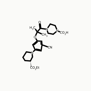 CCOC(=O)[C@@H]1CCCN(c2cc(C#N)cc(OC(C)(C)C(=O)N3CCN(C(=O)O)CC3)c2)C1